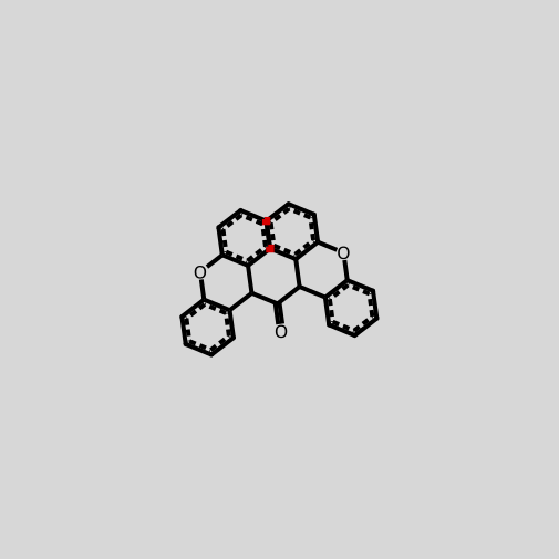 O=C(C1c2ccccc2Oc2ccccc21)C1c2ccccc2Oc2ccccc21